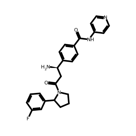 N[C@H](CC(=O)N1CCCC1c1cccc(F)c1)c1ccc(C(=O)Nc2ccncc2)cc1